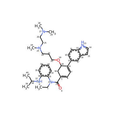 CCN(C(=O)C1=CC=C(c2ccc3[nH]ccc3c2)C(OCCCN(C)CCN(C)C)C1)c1ccccc1NC(C)C